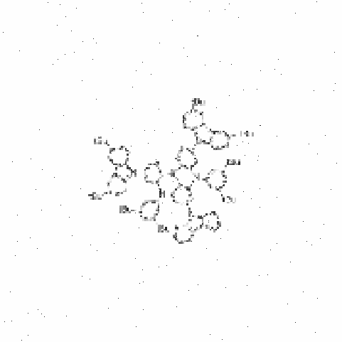 CC(C)(C)c1cc(N2c3cc(-n4c5ccc(C(C)(C)C)cc5c5cc(C(C)(C)C)ccc54)ccc3B3c4ccc(-n5c6ccc(C(C)(C)C)cc6c6cc(C(C)(C)C)ccc65)cc4N(c4cc(C(C)(C)C)cc(C(C)(C)C)c4)c4cc(-n5c6ccccc6c6ccccc65)cc2c43)cc(C(C)(C)C)c1